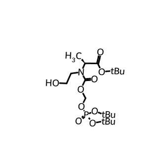 C[C@@H](C(=O)OC(C)(C)C)N(CCO)C(=O)OCOP(=O)(OC(C)(C)C)OC(C)(C)C